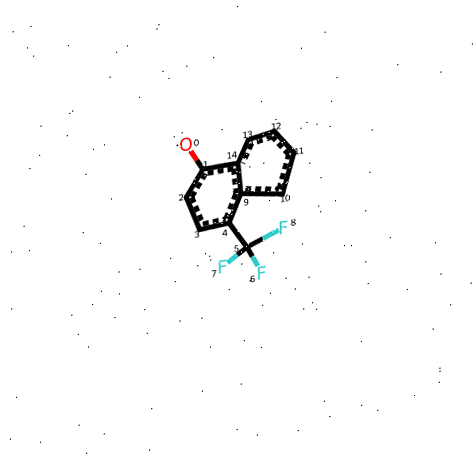 [O]c1ccc(C(F)(F)F)c2ccccc12